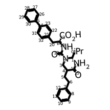 CC(C)CN(CC(CCc1ccccc1)C(N)=O)C(=O)N[C@@H](Cc1ccc(-c2ccccc2)cc1)C(=O)O